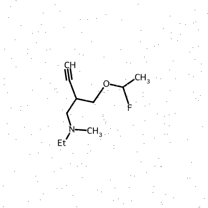 C#CC(COC(C)F)CN(C)CC